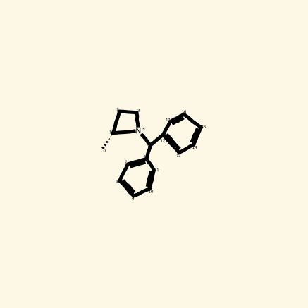 C[C@@H]1CCN1C(c1ccccc1)c1ccccc1